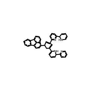 C1=CNC(c2cccc(C3=CC(c4ccc5c6c(cccc46)-c4ccccc4-5)CC(C4=CC=CC(c5ccccn5)N4)=C3)n2)C=C1